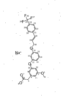 COc1cc(CC(=O)[O-])cc(Oc2cccc(OC/C=C/c3ccc(C(F)(F)F)cc3)c2)c1.[Na+]